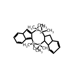 C[Si]1(C)C2=CC3C=CC=CC3=C2[Si](C)(C)[Si](C)(C)C2C3C=CC=CC3CC2[Si]1(C)C